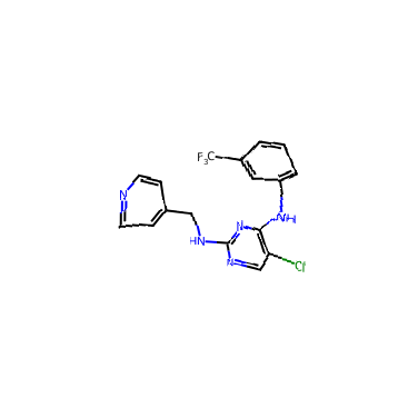 FC(F)(F)c1cccc(Nc2nc(NCc3ccncc3)ncc2Cl)c1